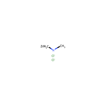 C[N-]C.[Cl-].[Cl-].[Zr+3]